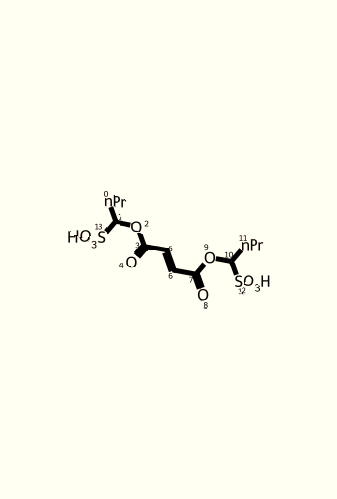 CCCC(OC(=O)C=CC(=O)OC(CCC)S(=O)(=O)O)S(=O)(=O)O